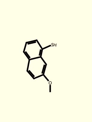 COc1ccc2cccc(S)c2c1